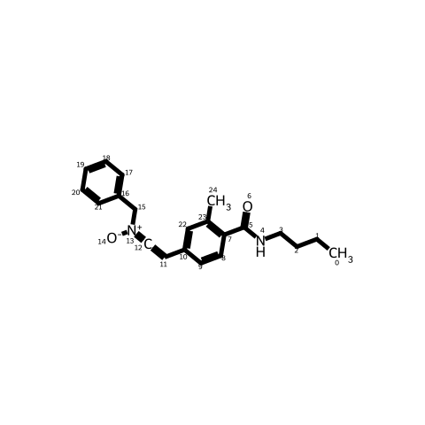 CCCCNC(=O)c1ccc(C=C=[N+]([O-])Cc2ccccc2)cc1C